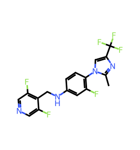 Cc1nc(C(F)(F)F)cn1-c1ccc(NCc2c(F)cncc2F)cc1F